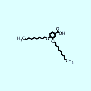 CCCCCCCCCOc1ccc(C(=O)O)cc1OCCCCCCCCC